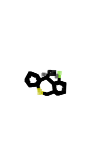 C[C@@H]1c2ccccc2SCc2cccc(F)c21